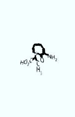 CC(C(=O)O)N1\C=C/C=C\C=C(\N)C1=O